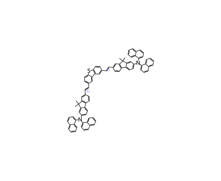 CC1(C)c2cc(/C=C/c3ccc4sc5ccc(/C=C/c6ccc7c(c6)C(C)(C)c6cc(N(c8cccc9ccccc89)c8cccc9ccccc89)ccc6-7)cc5c4c3)ccc2-c2ccc(N(c3cccc4ccccc34)c3cccc4ccccc34)cc21